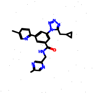 Cc1ccc(-c2cc(C(=O)NCc3cnc(C)cn3)cc(-n3nnnc3CC3CC3)c2)nc1